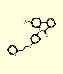 O=C(Nc1ccc(SCCc2ccccn2)cc1)c1ccccc1-c1ccc(C(F)(F)F)cc1